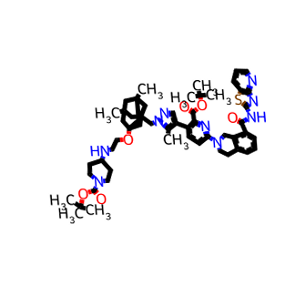 Cc1c(-c2ccc(N3CCc4cccc(C(=O)Nc5nc6ncccc6s5)c4C3)nc2C(=O)OC(C)(C)C)cnn1CC12CC3(C)CC(C)(C1)CC(OCCNC1CCN(C(=O)OC(C)(C)C)CC1)(C3)C2